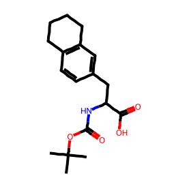 CC(C)(C)OC(=O)NC(Cc1ccc2c(c1)CCCC2)C(=O)O